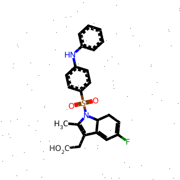 CC1=C(CC(=O)O)C2=CC(F)=CCC2N1S(=O)(=O)c1ccc(Nc2ccccc2)cc1